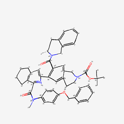 C[C@@H]1Cc2ccccc2CN1C(=O)c1cc2c(cc1-c1cc3c(c(C(=O)N(C)c4ccc(OCc5ccccc5)cc4)n1)CCCC3)CCN(C(=O)OC(C)(C)C)C2